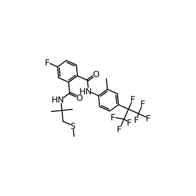 CSCC(C)(C)NC(=O)c1cc(F)ccc1C(=O)Nc1ccc(C(F)(C(F)(F)F)C(F)(F)F)cc1C